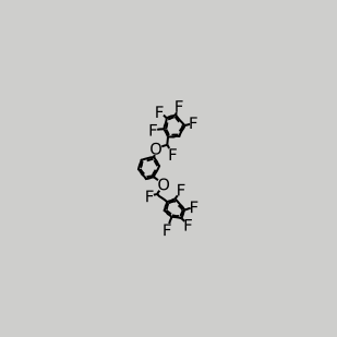 Fc1cc(C(F)Oc2cccc(OC(F)c3cc(F)c(F)c(F)c3F)c2)c(F)c(F)c1F